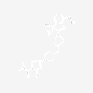 CCOC1=CC(C(O)(C(=O)N2CCC(CC3CCN(c4ccc(C(=O)N(C)C)c(Cl)c4)CC3)CC2)C(F)(F)F)=CCC1